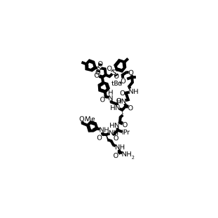 COCc1ccc(NC(=O)[C@H](CCCNC(N)=O)NC(=O)C(NC(=O)CC[C@H](NC(=O)CNC(=O)c2ccc(C(=O)C(CS(=O)(=O)c3ccc(C)cc3)CS(=O)(=O)c3ccc(C)cc3)cc2)C(=O)NCC(=O)NCCC(C)(C)OCCOC(C)(C)C)C(C)C)cc1